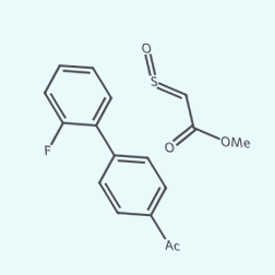 CC(=O)c1ccc(-c2ccccc2F)cc1.COC(=O)C=S=O